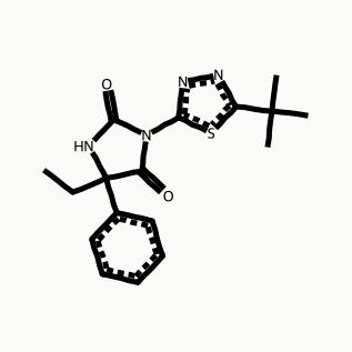 CCC1(c2ccccc2)NC(=O)N(c2nnc(C(C)(C)C)s2)C1=O